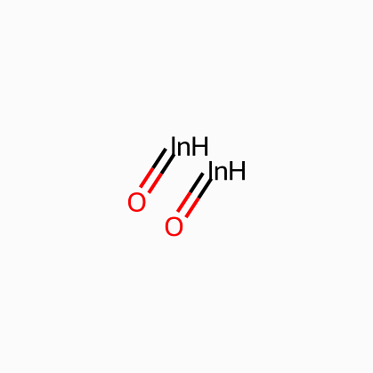 [O]=[InH].[O]=[InH]